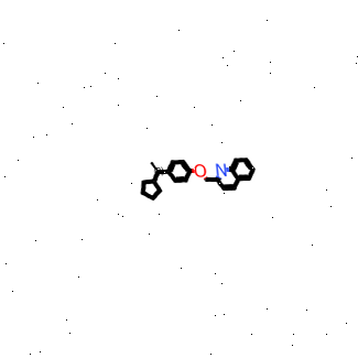 C[C@@H](c1ccc(OCc2ccc3ccccc3n2)cc1)C1CCCC1